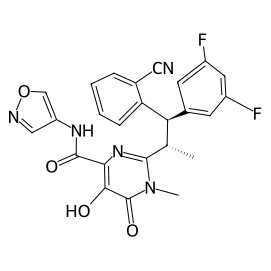 C[C@H](c1nc(C(=O)Nc2cnoc2)c(O)c(=O)n1C)[C@H](c1cc(F)cc(F)c1)c1ccccc1C#N